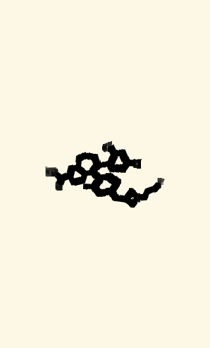 Cc1cc(CC2CN(CCCF)C2)ccc1C1=C(c2ccc(Cl)cc2Cl)CCCc2cc(C(=O)O)ccc21